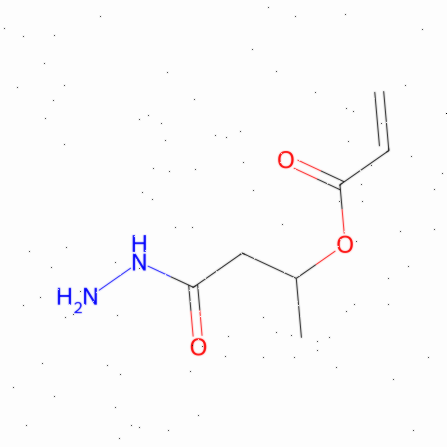 C=CC(=O)OC(C)CC(=O)NN